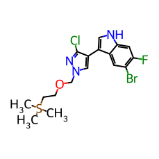 CS(C)(C)CCOCn1cc(-c2c[nH]c3cc(F)c(Br)cc23)c(Cl)n1